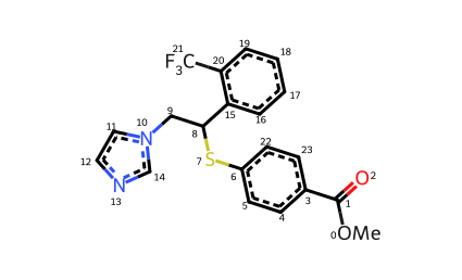 COC(=O)c1ccc(SC(Cn2ccnc2)c2ccccc2C(F)(F)F)cc1